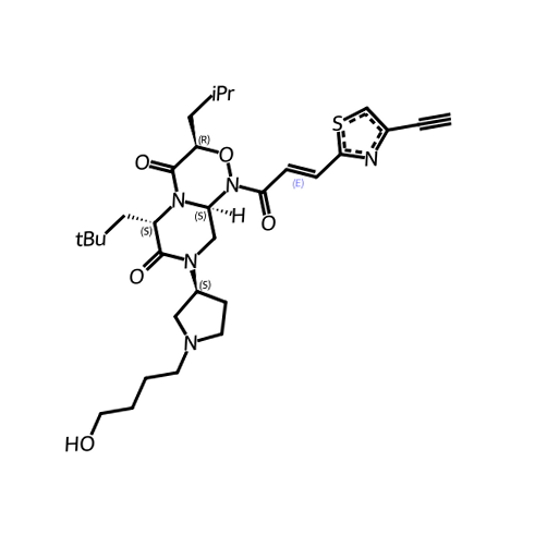 C#Cc1csc(/C=C/C(=O)N2O[C@H](CC(C)C)C(=O)N3[C@@H]2CN([C@H]2CCN(CCCCO)C2)C(=O)[C@@H]3CC(C)(C)C)n1